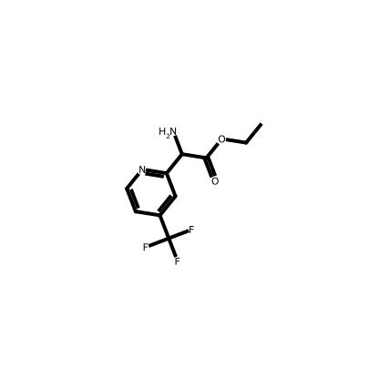 CCOC(=O)C(N)c1cc(C(F)(F)F)ccn1